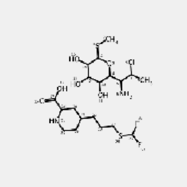 CSC1OC(C(N)C(C)Cl)C(O)C(O)C1O.O=C(O)C1CC(CCCSC(F)F)CCN1